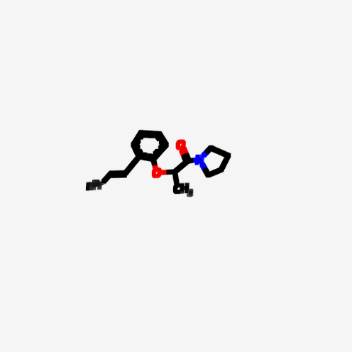 CCC/C=C/c1ccccc1OC(C)C(=O)N1CCCC1